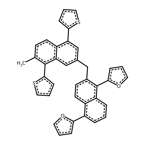 Cc1ccc2c(-c3cccs3)cc(Cc3ccc4c(-c5ccco5)cccc4c3-c3ccco3)cc2c1-c1cccs1